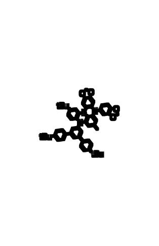 Cc1cc2c3c(c1)N(c1ccc4c(c1)OCO4)c1cc4c(cc1B3c1cc(C(C)(C)C)ccc1N2c1cc(-c2ccc(C(C)(C)C)cc2)cc(-c2ccc(C(C)(C)C)cc2)c1)OCO4